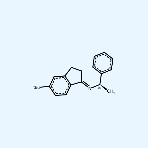 C[C@@H](N=C1CCc2cc(C(C)(C)C)ccc21)c1ccccc1